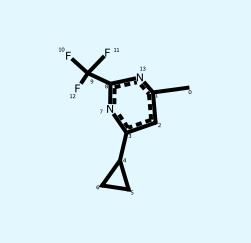 Cc1cc(C2CC2)nc(C(F)(F)F)n1